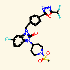 CS(=O)(=O)N1CCC(n2c(=O)n(Cc3ccc(-c4nnc(C(F)F)o4)cc3)c3cc(F)ccc32)CC1